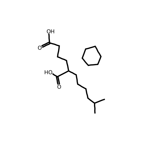 C1CCCCC1.CC(C)CCCCC(CCCC(=O)O)C(=O)O